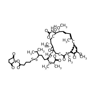 COc1cc2cc(c1Cl)N(C)C(=O)C[C@H](OC(=O)[C@H](C)N(C)C(=O)CCC(SSCCCC(=O)ON1C(=O)CCC1=O)C(C)C)[C@]1(C)O[C@H]1[C@H](C)C1C[C@@](O)(NC(=O)O1)[C@H](OC)/C=C/C=C(\C)C2